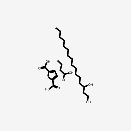 CCCC(O)O.CCCCCCCCCCCCCC(O)CCO.O=C(O)c1ccc(C(=O)O)o1